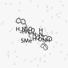 CSCC[C@@H](NC(=O)[C@@H](N)Cc1ccc2ccccc2c1)C(=O)NCC(=O)N[C@@H](Cc1ccccc1)C(=O)NC1C2CC3CC(C2)CC1C3